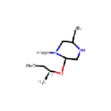 CCCCCCCN1CC(C(C)(C)C)NCC1O[C@@H](C)COC